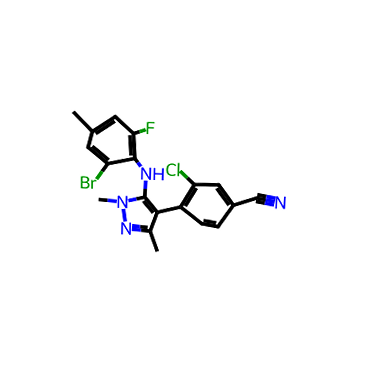 Cc1cc(F)c(Nc2c(-c3ccc(C#N)cc3Cl)c(C)nn2C)c(Br)c1